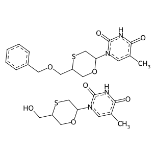 Cc1cn(C2CSC(CO)CO2)c(=O)[nH]c1=O.Cc1cn(C2CSC(COCc3ccccc3)CO2)c(=O)[nH]c1=O